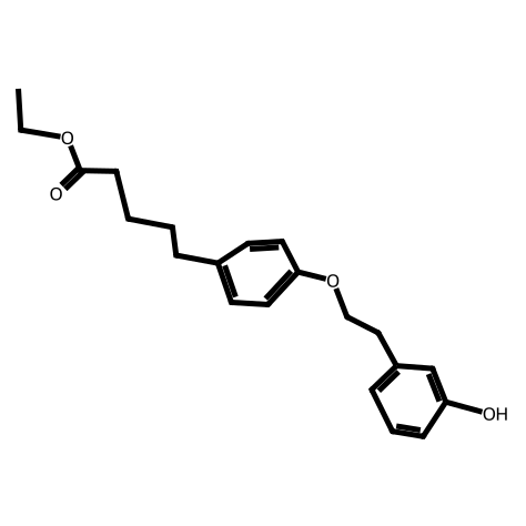 CCOC(=O)CCCCc1ccc(OCCc2cccc(O)c2)cc1